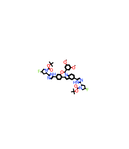 COc1cc(OC)cc(C2Oc3cc(-c4cnc(C5C[C@@H](F)CN5C(=O)OC(C)(C)C)[nH]4)ccc3-c3cc4cc(-c5cnc([C@@H]6CC(F)CN6C(=O)OC(C)(C)C)[nH]5)ccc4n32)c1